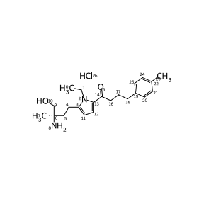 CCn1c(CC[C@@](C)(N)CO)ccc1C(=O)CCCc1ccc(C)cc1.Cl